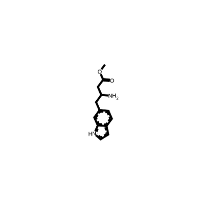 COC(=O)CC(N)Cc1ccc2cc[nH]c2c1